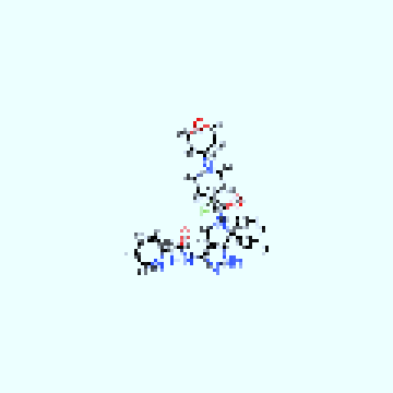 CC1(C)c2[nH]nc(NC(=O)c3ccccn3)c2CN1C(=O)C1(F)CCN(C2CCOCC2)CC1